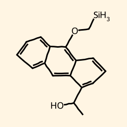 CC(O)c1cccc2c(OC[SiH3])c3ccccc3cc12